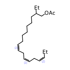 CC/C=C\C/C=C\C/C=C\CCCCCCC(CC)COC(C)=O